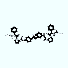 COC(=O)N[C@@H](C(=O)N1CCC[C@H]1C(=O)Nc1ccc2[nH]c(-c3ccc(NC(=O)[C@@H]4CCCN4C(=O)[C@H](NC(=O)O)c4ccccc4)cc3)cc2c1)c1ccccc1